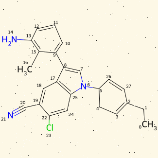 CCC1=CCC(n2cc(-c3cccc(N)c3C)c3cc(C#N)c(Cl)cc32)C=C1